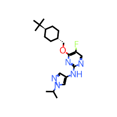 CC(C)n1cc(Nc2ncc(F)c(OC[C@H]3CC[C@H](C(C)(C)C)CC3)n2)cn1